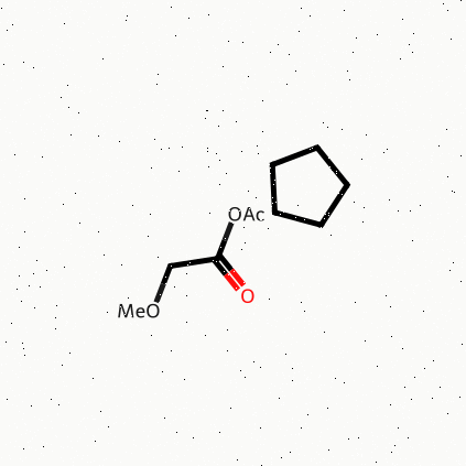 C1CCCC1.COCC(=O)OC(C)=O